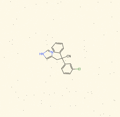 N#CC(Cc1c[nH]cn1)(c1ccccc1)c1cccc(Cl)c1